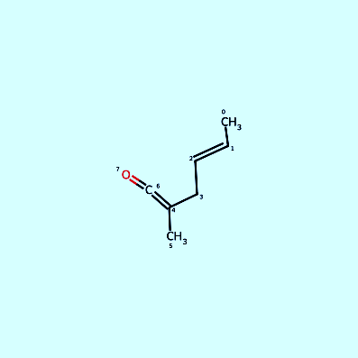 CC=CCC(C)=C=O